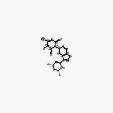 C[C@@H]1C[C@H](C)OC(c2nsc3ccc(-n4c(=O)cc(C(F)(F)F)n(C)c4=O)cc23)O1